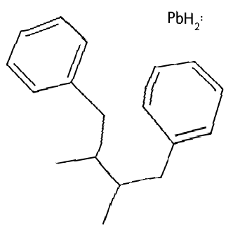 CC(Cc1ccccc1)C(C)Cc1ccccc1.[PbH2]